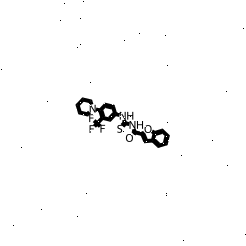 O=C(NC(=S)Nc1ccc(N2CCCCC2)c(C(F)(F)F)c1)c1cc2ccccc2o1